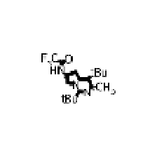 C[C@@H]1N=C(C(C)(C)C)N2C[C@@H](NC(=O)C(F)(F)F)CC2=C1C(C)(C)C